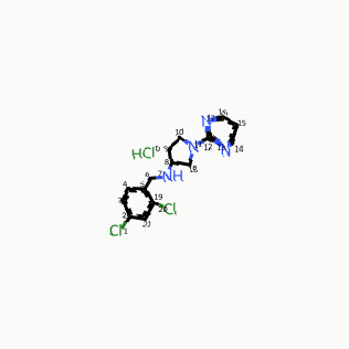 Cl.Clc1ccc(CNC2CCN(c3ncccn3)C2)c(Cl)c1